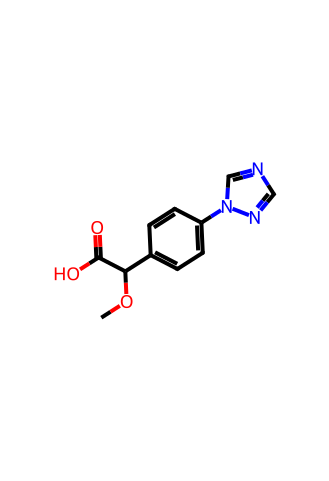 COC(C(=O)O)c1ccc(-n2cncn2)cc1